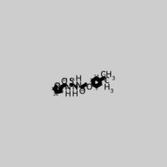 CC(C)c1ccc(OCC(=O)NNC(=S)NC(=O)c2ccco2)cc1